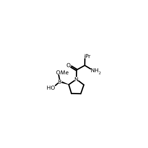 COB(O)[C@@H]1CCCN1C(=O)C(N)C(C)C